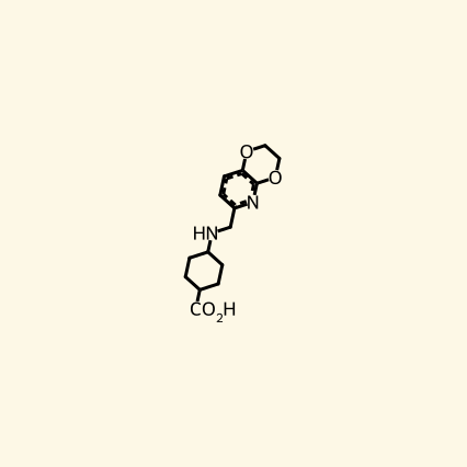 O=C(O)C1CCC(NCc2ccc3c(n2)OCCO3)CC1